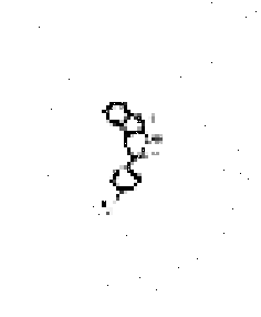 Cc1ccc(C(=N)Cc2c(O)[nH]c3ccccc23)cc1